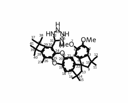 COc1cc2c(cc1OC)C1(CC2(C)C)CC(C)(C)c2cc3c(cc21)Oc1c(c(C)c2c(c1C1NNNN1)C(C)(C)C2(C)C)O3